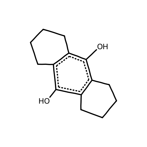 Oc1c2c(c(O)c3c1CCCC3)CCCC2